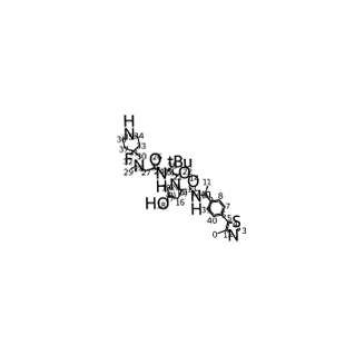 Cc1ncsc1-c1ccc([C@H](C)NC(=O)[C@@H]2C[C@@H](O)CN2C(=O)[C@@H](NC(=O)CN(C)CC2(F)CCNCC2)C(C)(C)C)cc1